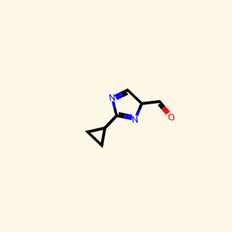 O=CC1C=NC(C2CC2)=N1